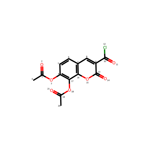 CC(=O)Oc1ccc2cc(C(=O)Cl)c(=O)oc2c1OC(C)=O